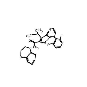 CC(C)c1c(C(=O)N[C@H]2CCOc3ccccc32)sc2c(-c3c(F)cccc3F)ccnc12